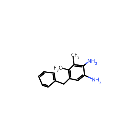 Nc1cc(Cc2ccccc2)c(C(F)(F)F)c(C(F)(F)F)c1N